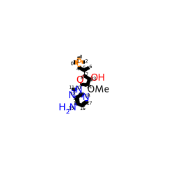 C=P(C)(C)CC(C)[C@H]1O[C@@H](n2cnc3c(N)ccnc32)[C@H](OC)[C@@H]1O